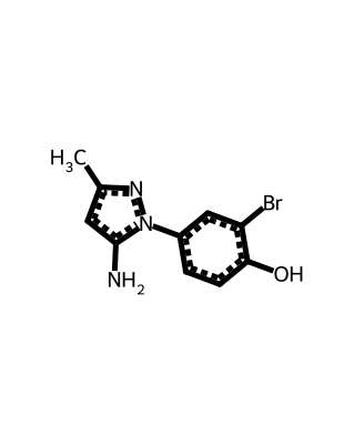 Cc1cc(N)n(-c2ccc(O)c(Br)c2)n1